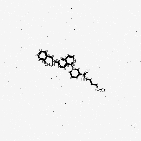 CCOCCCNC(=O)C1CCCN(c2nccc3nc(NCc4ccccc4C)ncc23)C1